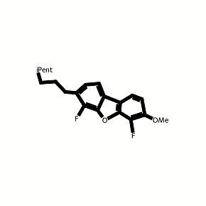 CCCC(C)CCCc1ccc2c(oc3c(F)c(OC)ccc32)c1F